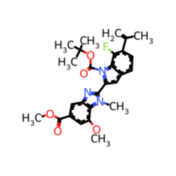 C=C(C)c1ccc2cc(-c3nc4cc(C(=O)OC)cc(OC)c4n3C)n(C(=O)OC(C)(C)C)c2c1F